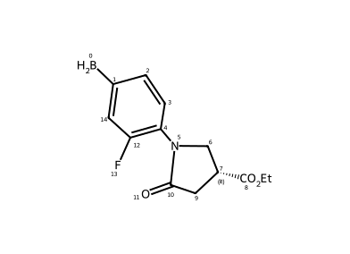 Bc1ccc(N2C[C@H](C(=O)OCC)CC2=O)c(F)c1